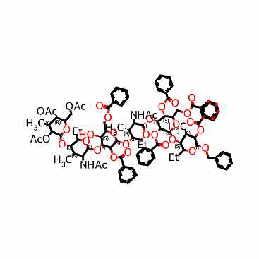 CCC1O[C@@H](O[C@@H]2C(OC(=O)c3ccccc3)[C@H](O[C@@H]3C(CC)O[C@@H](O[C@@H]4C(OC(=O)c5ccccc5)[C@H](O[C@@H]5C(CC)O[C@@H](OCc6ccccc6)C(OC(=O)c6ccccc6)[C@H]5C)OC(COC(=O)c5ccccc5)[C@@H]4OC(=O)c4ccccc4)C(NC(C)=O)[C@H]3C)OC(COC(=O)c3ccccc3)[C@@H]2O)C(NC(C)=O)[C@@H](C)[C@@H]1O[C@@H]1OC(COC(C)=O)[C@H](OC(C)=O)[C@H](C)C1OC(C)=O